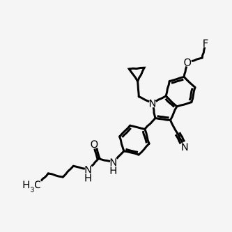 CCCCNC(=O)Nc1ccc(-c2c(C#N)c3ccc(OCF)cc3n2CC2CC2)cc1